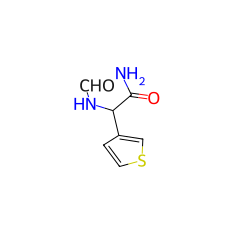 NC(=O)C(NC=O)c1ccsc1